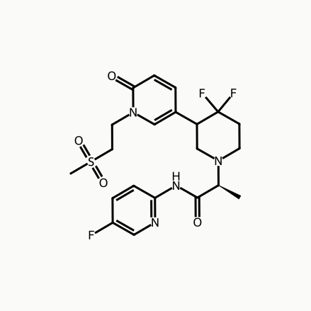 C[C@@H](C(=O)Nc1ccc(F)cn1)N1CCC(F)(F)C(c2ccc(=O)n(CCS(C)(=O)=O)c2)C1